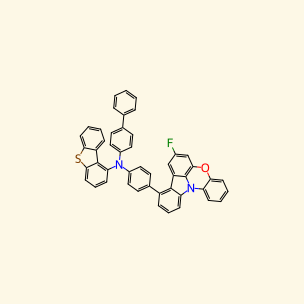 Fc1cc2c3c(c1)c1c(-c4ccc(N(c5ccc(-c6ccccc6)cc5)c5cccc6sc7ccccc7c56)cc4)cccc1n3-c1ccccc1O2